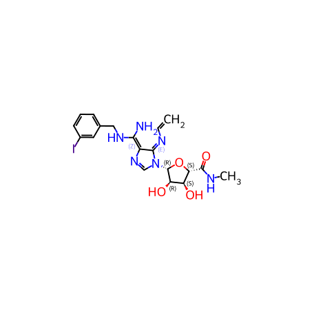 C=C/N=C1\C(=C(/N)NCc2cccc(I)c2)N=CN1[C@@H]1O[C@H](C(=O)NC)[C@@H](O)[C@H]1O